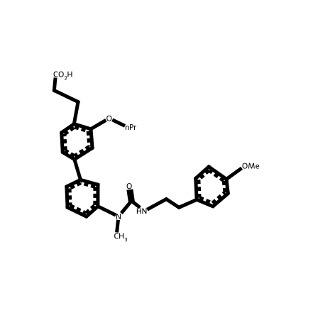 CCCOc1cc(-c2cccc(N(C)C(=O)NCCc3ccc(OC)cc3)c2)ccc1CCC(=O)O